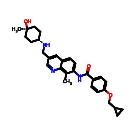 Cc1c(NC(=O)c2ccc(OCC3CC3)cc2)ccc2cc(CN[C@H]3CC[C@](C)(O)CC3)cnc12